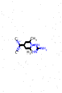 [C-]#[N+]C([N+]#[C-])=C1C=C(C)N(NC(=N)N)C(C)=C1